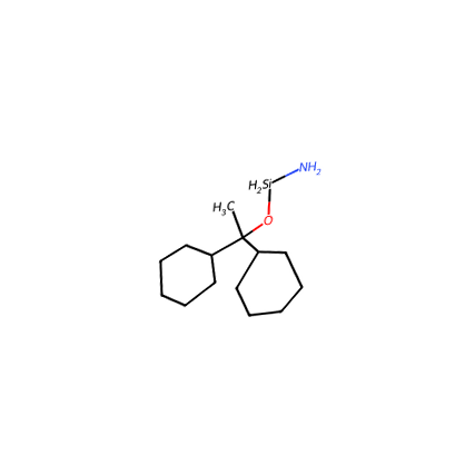 CC(O[SiH2]N)(C1CCCCC1)C1CCCCC1